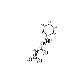 O=C(N=S(=O)=O)ONC1CCCCC1